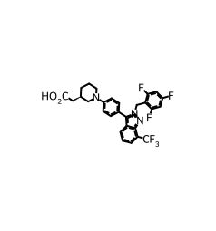 O=C(O)C[C@H]1CCCN(c2ccc(-c3c4cccc(C(F)(F)F)c4nn3Cc3c(F)cc(F)cc3F)cc2)C1